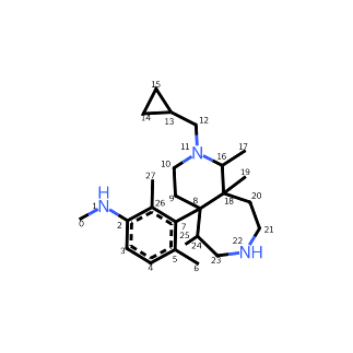 CNc1ccc(C)c(C23CCN(CC4CC4)C(C)C2(C)CCNCC3C)c1C